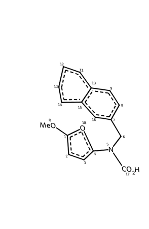 COc1ccc(N(Cc2ccc3ccccc3c2)C(=O)O)o1